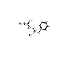 C[C@H](COC(N)=O)Cc1ccccc1